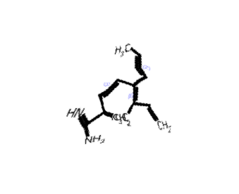 C=C/C(C)=C(\C=C/C)/C=C\C(=C)C(=N)N